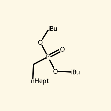 CCCCCCCCP(=O)(OC(C)CC)OC(C)CC